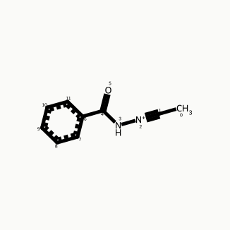 CC#[N+]NC(=O)c1ccccc1